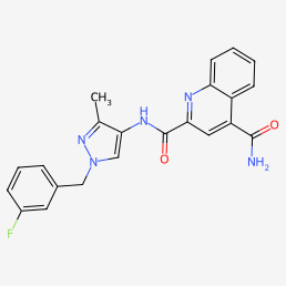 Cc1nn(Cc2cccc(F)c2)cc1NC(=O)c1cc(C(N)=O)c2ccccc2n1